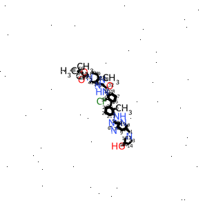 Cc1c(Nc2ncnc3cc(CN4CC[C@@H](O)C4)cnc23)cccc1-c1cccc(NC(=O)c2nc3c(n2C)CCN(C(=O)OC(C)(C)C)C3)c1Cl